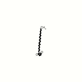 CCCCCCCCCCCCCCCCCCN1C(=O)C=CC1=O